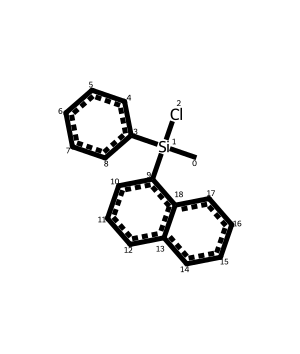 C[Si](Cl)(c1ccccc1)c1cccc2ccccc12